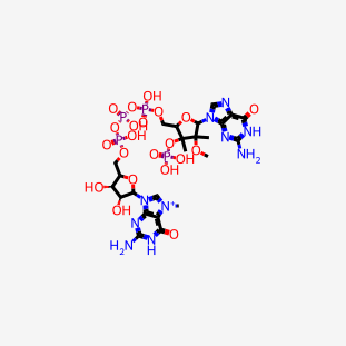 COC1(C)C(n2cnc3c(=O)[nH]c(N)nc32)OC(COP(=O)(O)OP(=O)(O)OP(=O)(O)OCC2OC(n3c[n+](C)c4c(=O)[nH]c(N)nc43)[C@@H](O)[C@H]2O)C1(C)OP(=O)(O)O